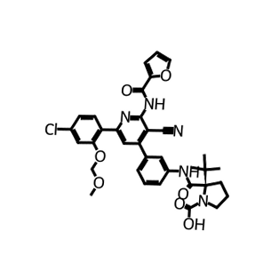 COCOc1cc(Cl)ccc1-c1cc(-c2cccc(NC(=O)[C@]3(C(C)(C)C)CCCN3C(=O)O)c2)c(C#N)c(NC(=O)c2ccco2)n1